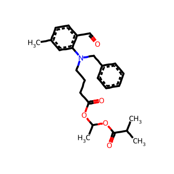 Cc1ccc(C=O)c(N(CCCC(=O)OC(C)OC(=O)C(C)C)Cc2ccccc2)c1